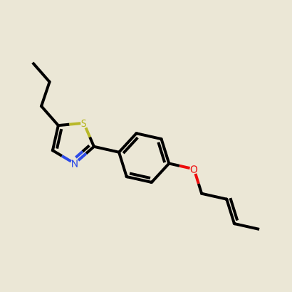 CC=CCOc1ccc(-c2ncc(CCC)s2)cc1